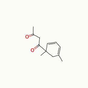 CC(=O)CC(=O)C1(C)C=CC=C(C)C1